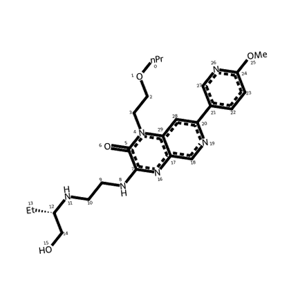 CCCOCCn1c(=O)c(NCCN[C@@H](CC)CO)nc2cnc(-c3ccc(OC)nc3)cc21